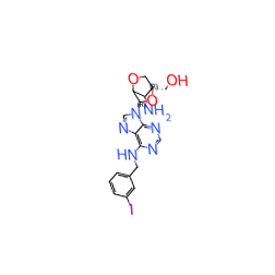 NC1C2OC[C@@]1(CO)O[C@H]2n1cnc2c(NCc3cccc(I)c3)ncnc21